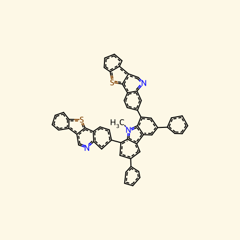 Cn1c2c(-c3ccc4c(c3)ncc3c5ccccc5sc43)cc(-c3ccccc3)cc2c2cc(-c3ccccc3)cc(-c3ccc4c(c3)ncc3c5ccccc5sc43)c21